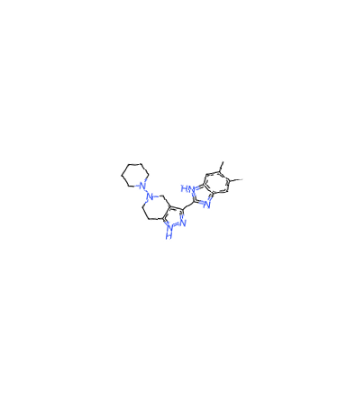 Cc1cc2nc(-c3n[nH]c4c3CN(N3CCCCC3)CC4)[nH]c2cc1C